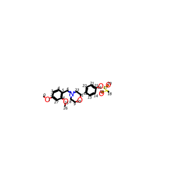 COc1ccc(CN2CCO[C@@H](c3ccc(OS(C)(=O)=O)cc3)C2)c(OC)c1